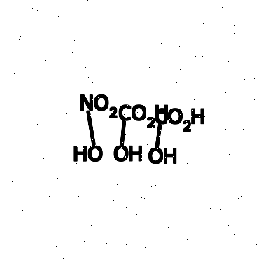 O=C(O)O.O=C(O)O.O=[N+]([O-])O